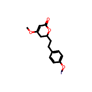 COC1=CC(=O)OC(CCc2ccc(OI)cc2)C1